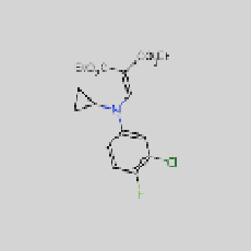 CCOC(=O)C(=CN(c1ccc(F)c(Cl)c1)C1CC1)C(=O)OCC